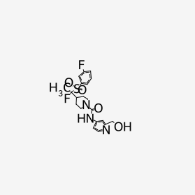 CC(F)(C1CCN(C(=O)Nc2ccnc(CO)c2)CC1)S(=O)(=O)c1cccc(F)c1